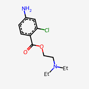 CCN(CC)CCOC(=O)c1ccc(N)cc1Cl